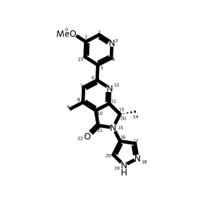 COc1cncc(-c2cc(C)c3c(n2)[C@H](C)N(c2cn[nH]c2)C3=O)c1